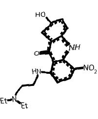 CCN(CC)CCNc1ccc([N+](=O)[O-])c2[nH]c3ccc(O)cc3c(=O)c12